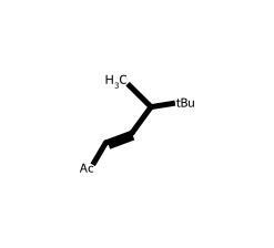 CC(=O)C=CC(C)C(C)(C)C